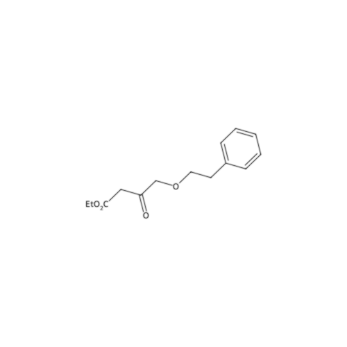 CCOC(=O)CC(=O)COCCc1ccccc1